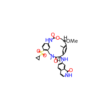 CO[C@H]1COC(=O)Nc2ccc(S(=O)(=O)C3CC3)c(c2)CN(C)C(=O)[C@H](Nc2ccc3cc[nH]c(=O)c3c2)c2ccc1c(C)c2